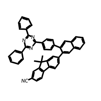 CC1(C)c2cc(C#N)ccc2-c2ccc(-c3cc4ccccc4cc3-c3ccc(-c4nc(-c5ccccc5)nc(-c5ccccc5)n4)cc3)cc21